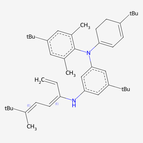 C=C/C(=C\C=C(/C)C(C)(C)C)Nc1cc(N(C2=CC=C(C(C)(C)C)CC2)c2c(C)cc(C(C)(C)C)cc2C)cc(C(C)(C)C)c1